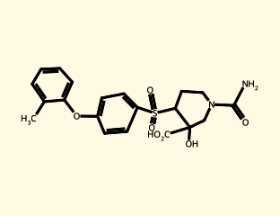 Cc1ccccc1Oc1ccc(S(=O)(=O)C2CCN(C(N)=O)CC2(O)C(=O)O)cc1